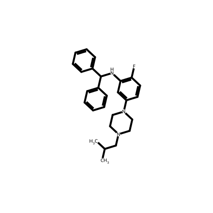 CC(C)CN1CCN(c2ccc(F)c(NC(c3ccccc3)c3ccccc3)c2)CC1